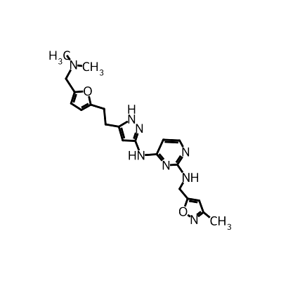 Cc1cc(CNc2nccc(Nc3cc(CCc4ccc(CN(C)C)o4)[nH]n3)n2)on1